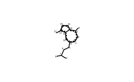 Cc1ccc(CCC(C)C)cc2c(C)ccc1-2